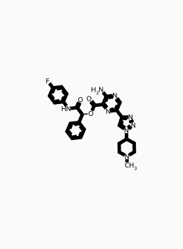 CN1CCC(n2cc(-c3cnc(N)c(C(=O)O[C@@H](C(=O)Nc4ccc(F)cc4)c4ccccc4)n3)nn2)CC1